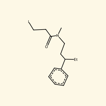 CCC(CCN(C)C(=O)CCI)c1ccccc1